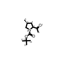 CC(=O)C1C[C@H](C)CN1C(=O)OC(C)(C)C